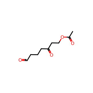 CC(=O)OCCC(=O)CCCC=O